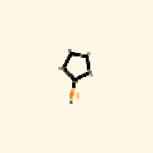 [PH]C1CCCC1